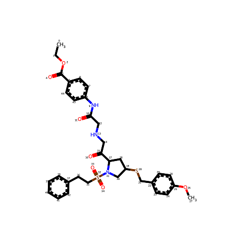 CCOC(=O)c1ccc(NC(=O)CNCC(=O)C2CC(SCc3ccc(OC)cc3)CN2S(=O)(=O)CCc2ccccc2)cc1